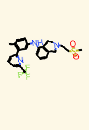 Cc1ccc(Nc2cccc3c2CCN(CCS(C)(=O)=O)C3)cc1-c1cccc(C(F)(F)F)n1